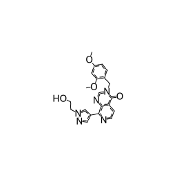 COc1ccc(Cn2cnc3c(-c4cnn(CCO)c4)nccc3c2=O)c(OC)c1